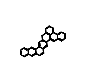 c1ccc2cc3c(ccc4cc5c(cc43)Cc3cccc4c3c-5cc3ccccc34)cc2c1